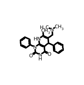 CC1=C(CN(C)C)C(c2ccccc2)c2c(n(-c3ccccc3)c(=O)[nH]c2=O)N1